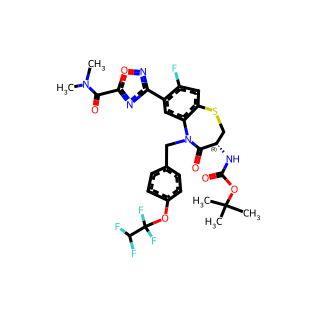 CN(C)C(=O)c1nc(-c2cc3c(cc2F)SC[C@H](NC(=O)OC(C)(C)C)C(=O)N3Cc2ccc(OC(F)(F)C(F)F)cc2)no1